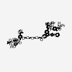 Cc1cc(F)c(Nc2nc(-c3ccc4c(c3)N([C@H]3C[C@@H](N5CCCCC5)C3)CC43CCN(C(=O)CCOCCOCCOCCOc4cc(-c5scnc5C)ccc4CNC(=O)[C@H]4C[C@H](O)CN4C(=O)[C@H](NC(=O)C4(F)CC4)C(C)(C)C)CC3)cc3ncn(C(C)C)c23)cc1C(=O)NC(C)C